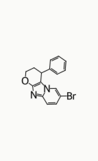 Brc1ccc2nc3c(n2c1)C(c1ccccc1)CCO3